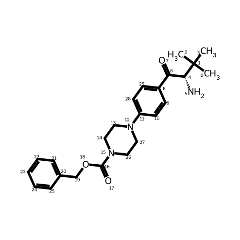 CC(C)(C)[C@H](N)C(=O)c1ccc(N2CCN(C(=O)OCc3ccccc3)CC2)cc1